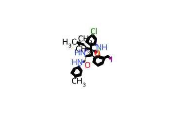 Cc1ccc(NC(=O)[C@@H]2N[C@@H](CC(C)(C)C)[C@@]3(C(=O)Nc4cc(Cl)ccc43)[C@H]2c2cccc(CI)c2F)cc1